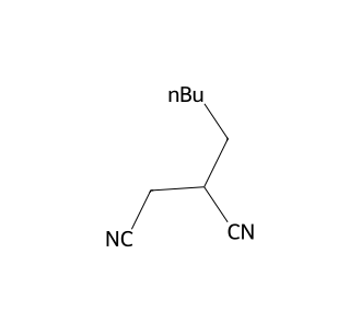 CCCCCC(C#N)CC#N